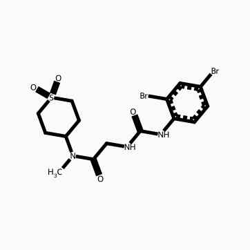 CN(C(=O)CNC(=O)Nc1ccc(Br)cc1Br)C1CCS(=O)(=O)CC1